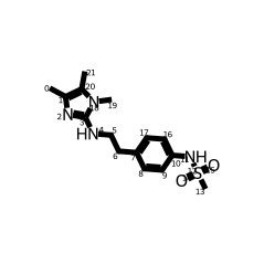 Cc1nc(NCCc2ccc(NS(C)(=O)=O)cc2)n(C)c1C